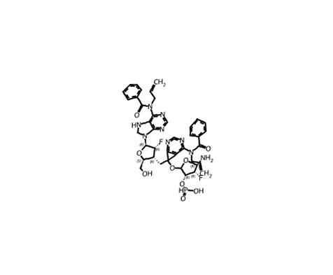 C=CCN(C(=O)c1ccccc1)c1ncnc2c1NCN2[C@@H]1O[C@H](CO)[C@@H](CC2(OC3O[C@@H](N)[C@H](F)[C@@H]3O[PH](=O)O)c3ncnc(N(CC=C)C(=O)c4ccccc4)c32)[C@H]1F